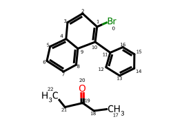 Brc1ccc2ccccc2c1-c1ccccc1.CCC(=O)CC